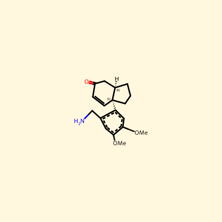 COc1cc(CN)c([C@]23C=CC(=O)C[C@H]2CCC3)cc1OC